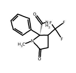 CN1C(=O)CC(C(F)(F)F)[C@]1(C(N)=O)c1ccccc1